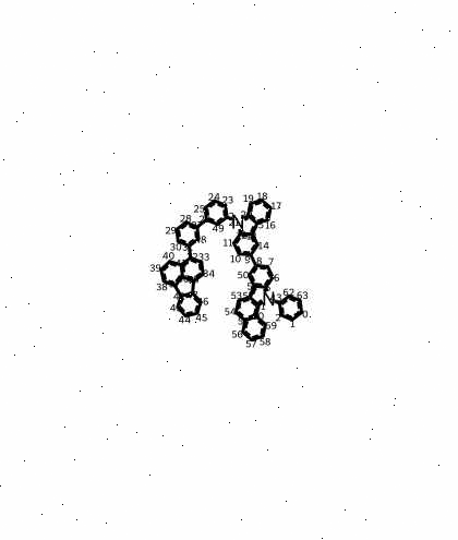 c1ccc(-n2c3ccc(-c4ccc5c(c4)c4ccccc4n5-c4cccc(-c5cccc(-c6ccc7c8c(cccc68)-c6ccccc6-7)c5)c4)cc3c3ccc4ccccc4c32)cc1